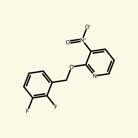 O=[N+]([O-])c1cccnc1OCc1cccc(F)c1F